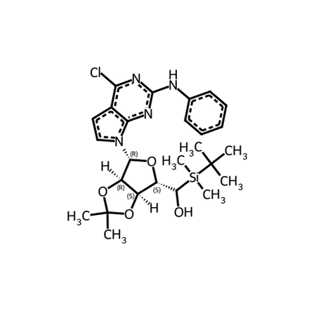 CC1(C)O[C@@H]2[C@H](O1)[C@@H](C(O)[Si](C)(C)C(C)(C)C)O[C@H]2n1ccc2c(Cl)nc(Nc3ccccc3)nc21